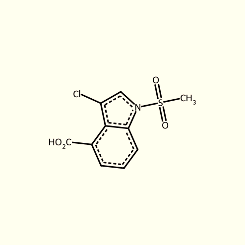 CS(=O)(=O)n1cc(Cl)c2c(C(=O)O)cccc21